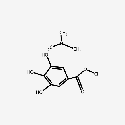 CN(C)C.O=C(OCl)c1cc(O)c(O)c(O)c1